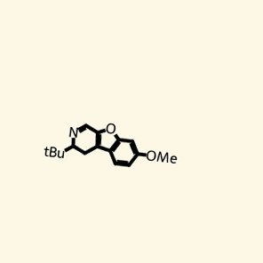 COc1ccc2c3c(oc2c1)C=NC(C(C)(C)C)C3